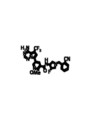 COc1ncc(-c2cc(C(F)(F)F)c3c(N)ncnn23)cc1C(=O)NC1CN(Cc2ccccc2C#N)CC1F